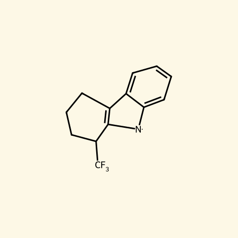 FC(F)(F)C1CCCC2=C1[N]c1ccccc12